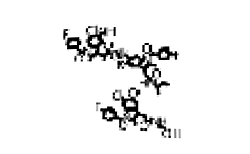 CCC(C)NC(=O)Cc1c(C)n(C(=O)c2ccc(F)cc2)c2cc(Cl)c(OC)cc12.COc1cc2c(CC(=O)NCCO)c(C)n(C(=O)c3ccc(F)cc3)c2cc1Cl.Cc1c(C(C)C(=O)O)c2cc(O)c(Cl)cc2n1C(=O)c1ccc(F)cc1